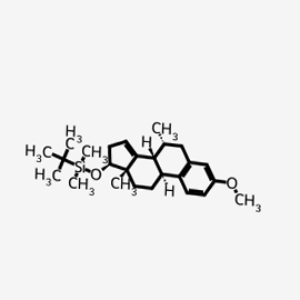 COc1ccc2c(c1)C[C@@H](C)[C@H]1C3=CC[C@H](O[Si](C)(C)C(C)(C)C)[C@@]3(C)CC[C@H]21